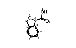 O=C(O)N1OCc2ccccc21